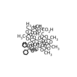 C[C@H](OC(=O)[C@H](C)OC(=O)[C@H](C)OC(=O)[C@H](C)OC(=O)[C@H](C)OC(=O)[C@H](C)OC(=O)[C@H](C)OC(=O)[C@H](C)OC(=O)[C@H](C)OC(=O)[C@H](C)OC(=O)[C@H](C)OC(=O)[C@H](C)O[Si](c1ccccc1)(c1ccccc1)C(C)(C)C)C(=O)O